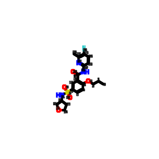 CCCOc1ccc(S(=O)(=O)NC2CCOC2)cc1C(=O)Nc1ccc(F)c(C)n1